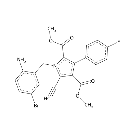 C#Cc1c(C(=O)OC)c(-c2ccc(F)cc2)c(C(=O)OC)n1Cc1cc(Br)ccc1N